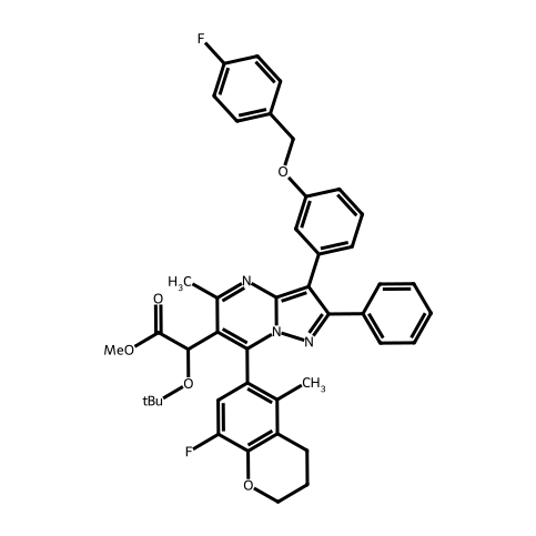 COC(=O)C(OC(C)(C)C)c1c(C)nc2c(-c3cccc(OCc4ccc(F)cc4)c3)c(-c3ccccc3)nn2c1-c1cc(F)c2c(c1C)CCCO2